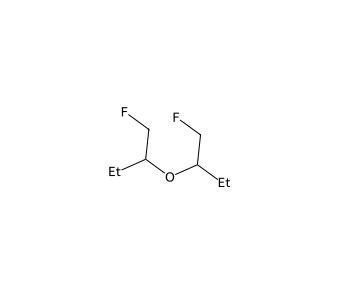 CCC(CF)OC(CC)CF